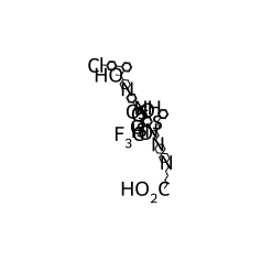 O=C(O)CCCCCN1CCC2(CC1)CCN(CCC(CSc1ccccc1)Nc1ccc(S(=O)(=O)NC(=O)c3ccc(N4CCC([C@@H](O)c5ccccc5-c5ccc(Cl)cc5)CC4)cc3)cc1S(=O)(=O)C(F)(F)F)CC2